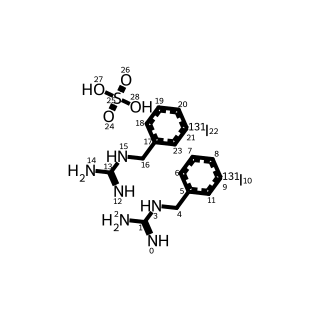 N=C(N)NCc1cccc([131I])c1.N=C(N)NCc1cccc([131I])c1.O=S(=O)(O)O